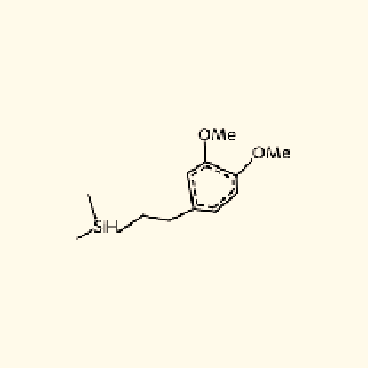 COc1ccc(CCC[SiH](C)C)cc1OC